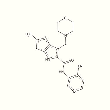 Cc1cc2[nH]c(C(=O)Nc3cnccc3C#N)c(CN3CCOCC3)c2s1